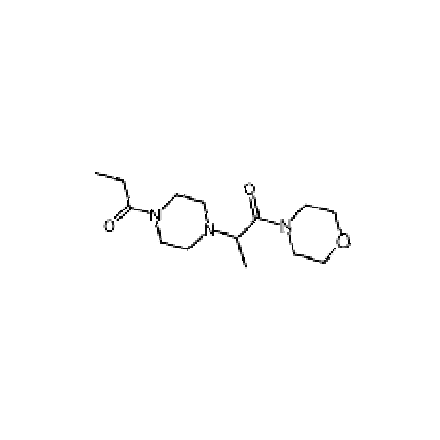 CCC(=O)N1CCN(C(C)C(=O)N2CCOCC2)CC1